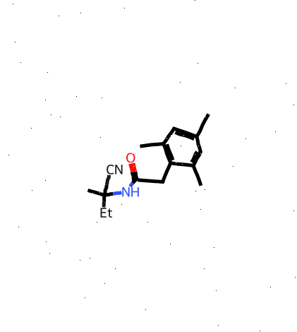 CCC(C)(C#N)NC(=O)Cc1c(C)cc(C)cc1C